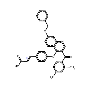 Cc1ccc(C(=O)c2cnc3cc(OCc4ccccc4)ccc3c2Oc2ccc(/C=C/C(=O)O)cc2)c(C)c1